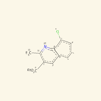 CCOC(=O)c1cc2cccc(Cl)c2nc1C(F)(F)F